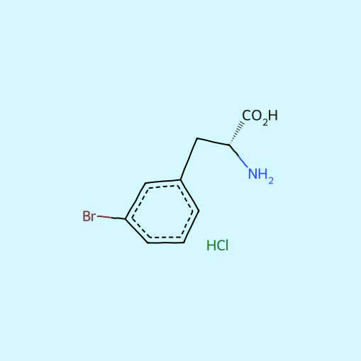 Cl.N[C@H](Cc1cccc(Br)c1)C(=O)O